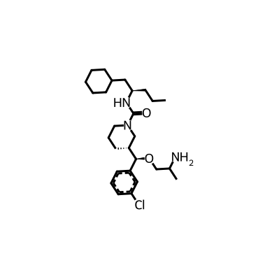 CCC[C@H](CC1CCCCC1)NC(=O)N1CCC[C@@H]([C@@H](OCC(C)N)c2cccc(Cl)c2)C1